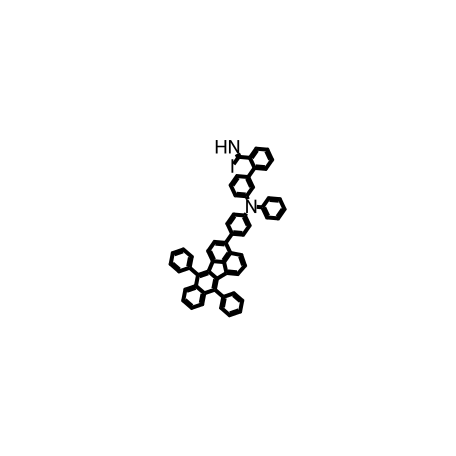 N=C(I)c1ccccc1-c1cccc(N(c2ccccc2)c2ccc(-c3ccc4c5c(cccc35)-c3c-4c(-c4ccccc4)c4ccccc4c3-c3ccccc3)cc2)c1